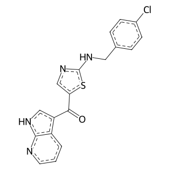 O=C(c1cnc(NCc2ccc(Cl)cc2)s1)c1c[nH]c2ncccc12